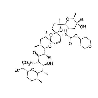 CCC(C(=O)[C@@H](C)[C@@H](O)[C@H](C)[C@@H]1O[C@@H](C(CC)C(=O)O)CC[C@@H]1C)[C@H]1O[C@]2(C=C[C@@H](NC(=O)OC3CCOCC3)[C@]3(CC[C@@](C)([C@H]4CC[C@](O)(CC)[C@H](C)O4)O3)O2)[C@H](C)C[C@@H]1C